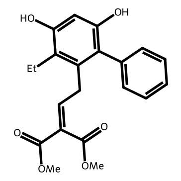 CCc1c(O)cc(O)c(-c2ccccc2)c1CC=C(C(=O)OC)C(=O)OC